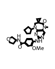 COc1cc(C(=O)N[C@H]2CCOC2)ccc1Nc1ncc2c(n1)N(C1CCCC1)CC1(CC1)C(=O)N2C